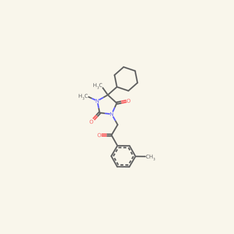 Cc1cccc(C(=O)CN2C(=O)N(C)C(C)(C3CCCCC3)C2=O)c1